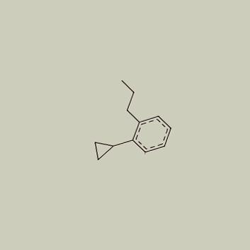 CCCc1ccc[c]c1C1CC1